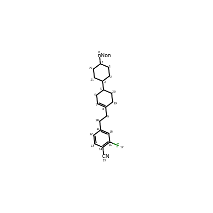 CCCCCCCCCC1CCC(C2CC=C(CCc3ccc(C#N)c(F)c3)CC2)CC1